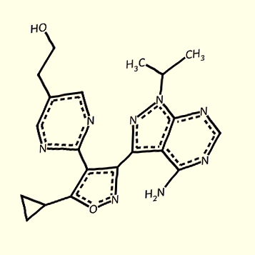 CC(C)n1nc(-c2noc(C3CC3)c2-c2ncc(CCO)cn2)c2c(N)ncnc21